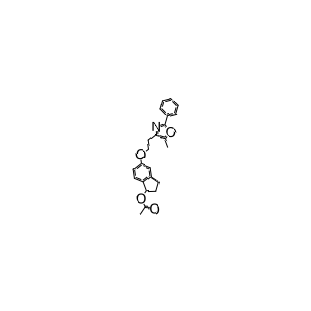 CC(=O)OC1CCc2cc(OCCc3nc(-c4ccccc4)oc3C)ccc21